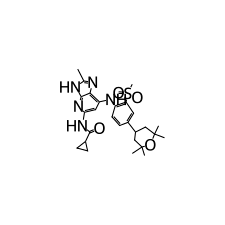 Cc1nc2c(Nc3ccc(C4CC(C)(C)OC(C)(C)C4)cc3S(C)(=O)=O)cc(NC(=O)C3CC3)nc2[nH]1